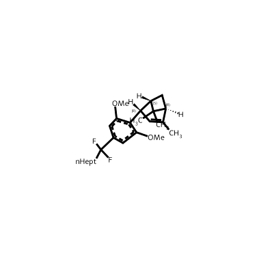 CCCCCCCC(F)(F)c1cc(OC)c([C@H]2C=C(C)[C@@H]3C[C@@H]2C3(C)C)c(OC)c1